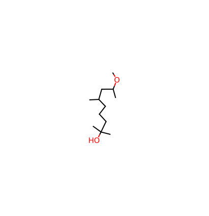 COC(C)CC(C)CCCC(C)(C)O